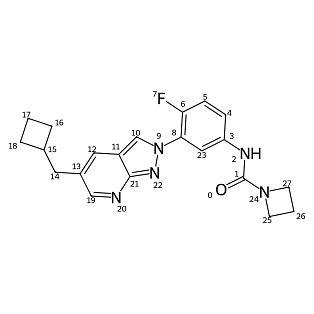 O=C(Nc1ccc(F)c(-n2cc3cc(CC4CCC4)cnc3n2)c1)N1CCC1